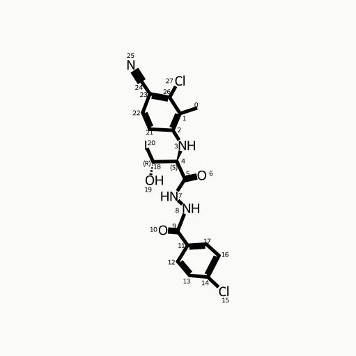 Cc1c(N[C@@H](C(=O)NNC(=O)c2ccc(Cl)cc2)[C@H](O)I)ccc(C#N)c1Cl